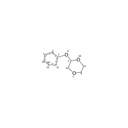 [c]1ccc(OC2COCCO2)cc1